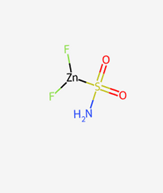 N[S](=O)(=O)[Zn]([F])[F]